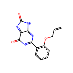 C=CCOc1ccccc1C1=NC(=O)C2=NC(=O)NC2=N1